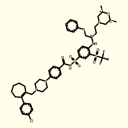 C[C@@H]1CN(CC[C@H](CSc2ccccc2)Nc2ccc(S(=O)(=O)NC(=O)c3ccc(N4CCN(CC5=C(c6ccc(Cl)cc6)CCCCC5)CC4)cc3)cc2S(=O)(=O)C(F)(F)F)C[C@H](C)O1